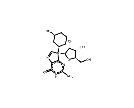 Nc1nc2c(c(=O)[nH]1)N=C[N+]2([C@@H]1CCC[C@H](O)C1)[C@@H]1O[C@H](CO)[C@@H](O)[C@H]1O